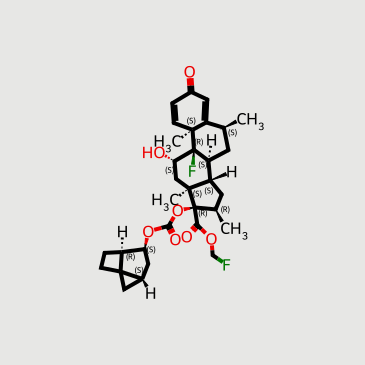 C[C@@H]1C[C@H]2[C@@H]3C[C@H](C)C4=CC(=O)C=C[C@]4(C)[C@@]3(F)[C@@H](O)C[C@]2(C)[C@@]1(OC(=O)O[C@H]1C[C@@H]2CC23CC[C@@H]13)C(=O)OCF